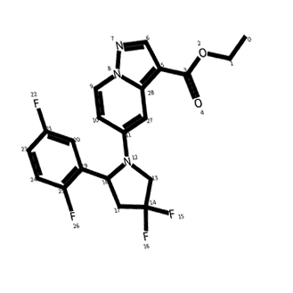 CCOC(=O)c1cnn2ccc(N3CC(F)(F)CC3c3cc(F)ccc3F)cc12